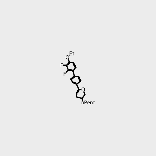 CCCCCC1CC=C(c2ccc(-c3ccc(OCC)c(F)c3F)cc2)OC1